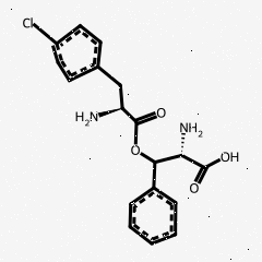 N[C@H](C(=O)O)C(OC(=O)[C@@H](N)Cc1ccc(Cl)cc1)c1ccccc1